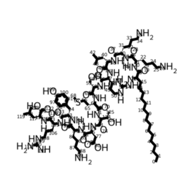 CCCCCCCCCCCCCCCCC(N)C(=O)N[C@@H](CCCCN)C(=O)N[C@@H](CCCCN)C(=O)N[C@@H](CC(C)C)C(=O)N[C@@H](CCCNC(=N)N)C(=O)N[C@@H](CO)C(=O)N[C@@H](CCSC)C(=O)N[C@H](C(=O)N[C@@H](CC(=O)O)C(=O)N[C@@H](CCCCN)C(=O)N[C@@H](Cc1ccc(O)cc1)C(=O)N[C@@H](CCCNC(=N)N)C(=O)N[C@@H](CC(C)C)C(=O)O)[C@@H](C)O